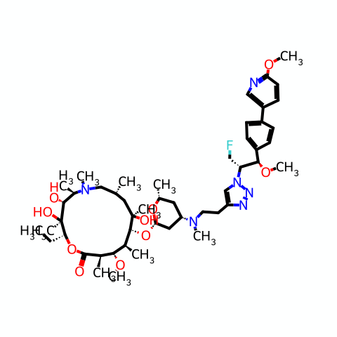 CC[C@H]1OC(=O)[C@H](C)[C@@H](OC)[C@H](C)[C@@H](O[C@H]2C[C@@H](N(C)CCc3cn([C@H](CF)[C@H](OC)c4ccc(-c5ccc(OC)nc5)cc4)nn3)C[C@@H](C)O2)[C@](C)(O)C[C@@H](C)CN(C)[C@H](C)[C@@H](O)[C@]1(C)O